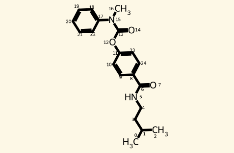 CC(C)CCNC(=O)c1ccc(OC(=O)N(C)c2ccccc2)cc1